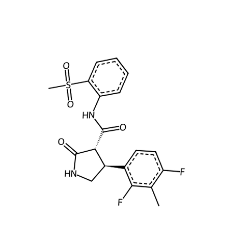 Cc1c(F)ccc([C@H]2CNC(=O)[C@@H]2C(=O)Nc2ccccc2S(C)(=O)=O)c1F